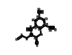 C=CCOC(=O)Cc1c(O)cc(O)cc1[N+](=O)[O-]